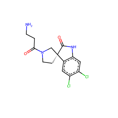 NCCC(=O)N1CC[C@]2(C1)C(=O)Nc1cc(Cl)c(Cl)cc12